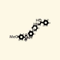 COc1ccc(S(=O)(=O)Nc2ccc(N3CCC(NC[C@@H](O)c4ccccc4)CC3)cc2)cc1